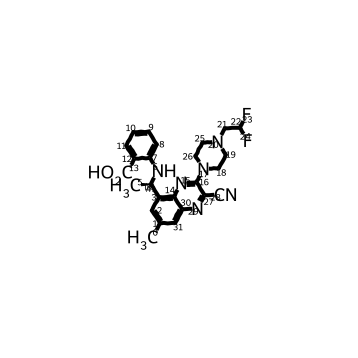 Cc1cc([C@@H](C)Nc2ccccc2C(=O)O)c2nc(N3CCN(CC(F)F)CC3)c(C#N)nc2c1